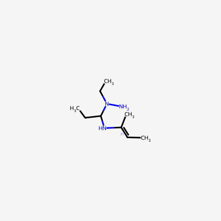 C/C=C(\C)NC(CC)N(N)CC